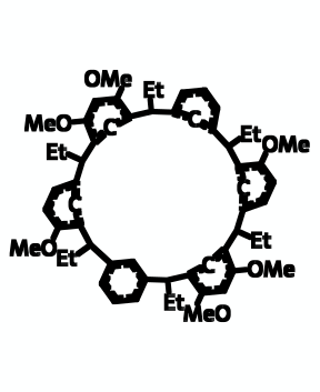 CCC1c2cccc(c2)C(CC)c2cc(c(OC)cc2OC)C(CC)c2ccc(OC)c(c2)C(CC)c2cccc(c2)C(CC)c2cc(c(OC)cc2OC)C(CC)c2ccc(OC)c1c2